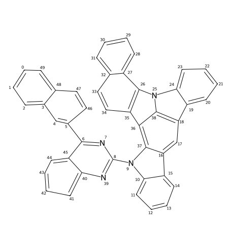 c1ccc2cc(-c3nc(-n4c5ccccc5c5cc6c7ccccc7n7c8c9ccccc9ccc8c(c54)c67)nc4ccccc34)ccc2c1